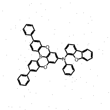 c1ccc(-c2ccc3c(c2)Oc2cc(N(c4ccccc4)c4cccc5c4oc4ccccc45)cc4c2B3c2ccc(-c3ccccc3)cc2O4)cc1